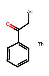 CC(=O)CC(=O)c1ccccc1.[Th]